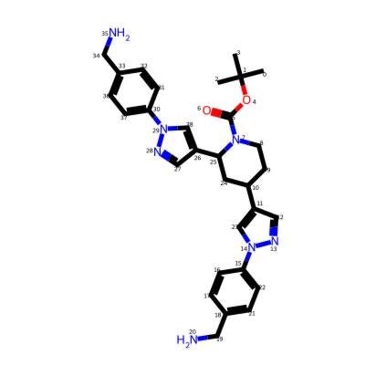 CC(C)(C)OC(=O)N1CCC(c2cnn(-c3ccc(CN)cc3)c2)CC1c1cnn(-c2ccc(CN)cc2)c1